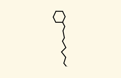 [CH2]CCCCCCCC[C]1CCCCC1